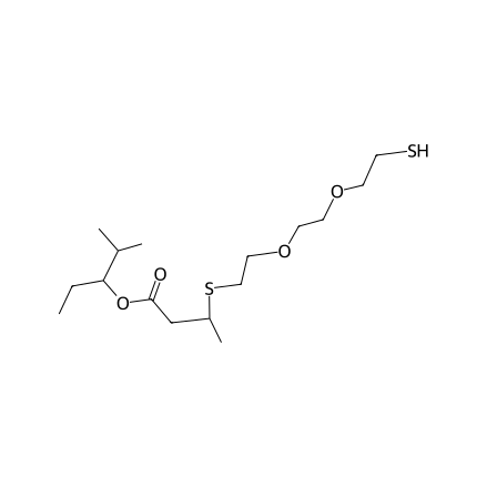 CCC(OC(=O)CC(C)SCCOCCOCCS)C(C)C